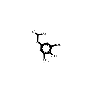 CC(=O)C(Cc1cc(C)c(O)c(C)c1)C(C)=O